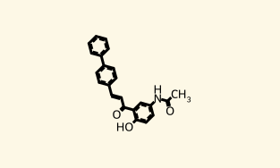 CC(=O)Nc1ccc(O)c(C(=O)/C=C/c2ccc(-c3ccccc3)cc2)c1